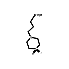 CCCCCCCCCCN1CCS(=O)(=O)CC1